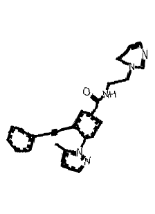 Cc1ccnn1-c1ccc(C(=O)NCCN2C=NC=CC2)cc1C#Cc1ccccc1